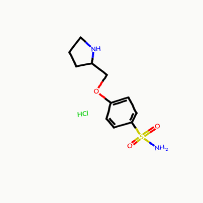 Cl.NS(=O)(=O)c1ccc(OCC2CCCN2)cc1